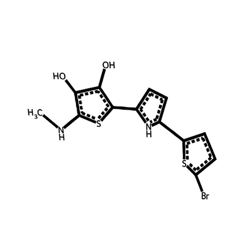 CNc1sc(-c2ccc(-c3ccc(Br)s3)[nH]2)c(O)c1O